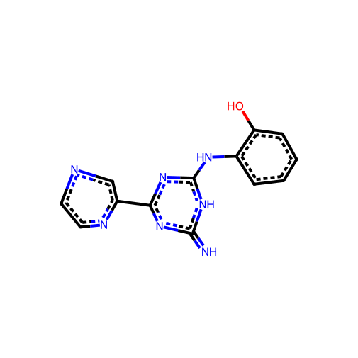 N=c1nc(-c2cnccn2)nc(Nc2ccccc2O)[nH]1